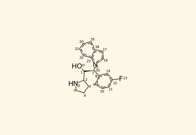 OC(C1CCCN1)[C@H](c1cccc(F)c1)n1ccc2ccccc21